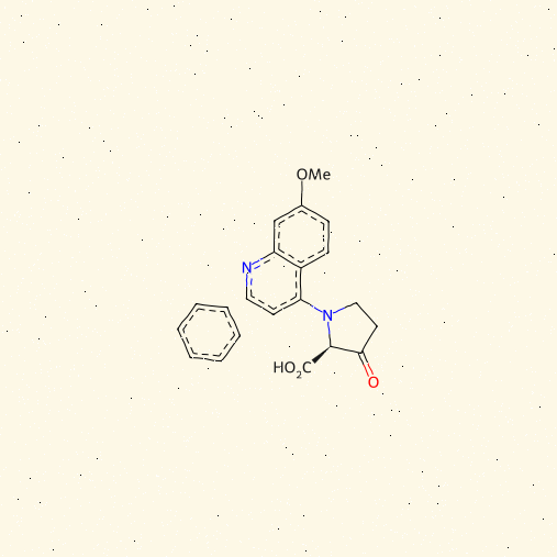 COc1ccc2c(N3CCC(=O)[C@H]3C(=O)O)ccnc2c1.c1ccccc1